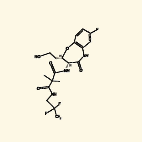 CC(C)(C(=O)NCC(F)(F)C(F)(F)F)C(=O)N[C@H]1C(=O)Nc2cc(F)ccc2O[C@H]1CCO